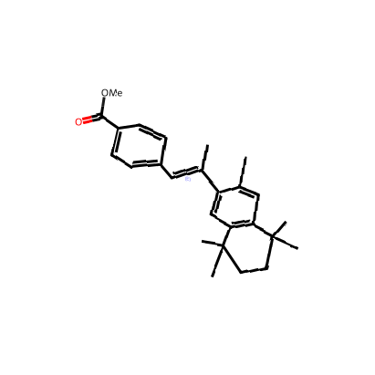 COC(=O)c1ccc(/C=C(\C)c2cc3c(cc2C)C(C)(C)CCC3(C)C)cc1